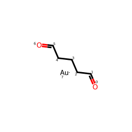 O=CCCCC=O.[Au]